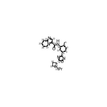 Cc1ccc(-c2noc([C@H]3CCN3C(C)C)n2)cc1NC(=O)c1cnc2ccccn12